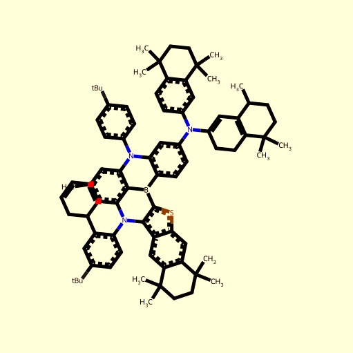 Cc1cc2c3c(c1)N(c1ccc(C(C)(C)C)cc1C1C=CC=CC1)c1c(sc4cc5c(cc14)C(C)(C)CCC5(C)C)B3c1ccc(N(C3=CC4=C(CC3)C(C)(C)CCC4C)c3ccc4c(c3)C(C)(C)CCC4(C)C)cc1N2c1ccc(C(C)(C)C)cc1